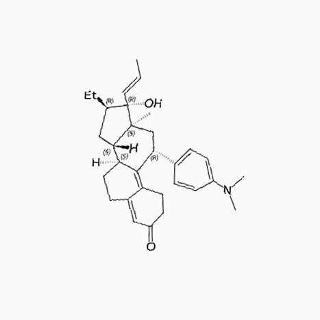 CC=C[C@]1(O)[C@H](CC)C[C@H]2[C@@H]3CCC4=CC(=O)CCC4=C3[C@@H](c3ccc(N(C)C)cc3)C[C@@]21C